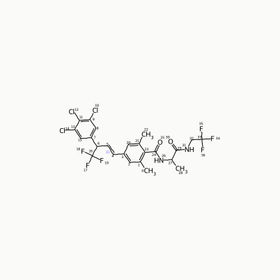 Cc1cc(/C=C/C(c2cc(Cl)c(Cl)c(Cl)c2)C(F)(F)F)cc(C)c1C(=O)NC(C)C(=O)NCC(F)(F)F